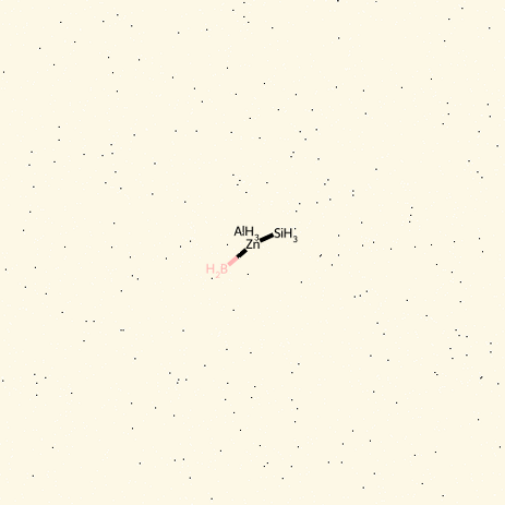 [AlH3].[BH2][Zn][SiH3]